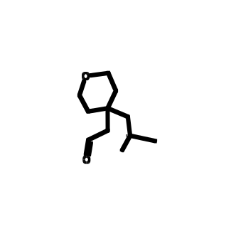 C[C](C)CC1(CC=O)CCOCC1